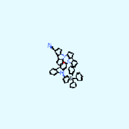 N#Cc1ccc2c(c1)c1ccccc1n2-c1cccc2c3ccccc3n(-c3ccc4c5ccccc5n(-c5cccc([Si](c6ccccc6)(c6ccccc6)c6ccccc6)c5)c4c3)c12